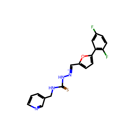 Fc1ccc(F)c(-c2ccc(/C=N/NC(=S)NCc3cccnc3)o2)c1